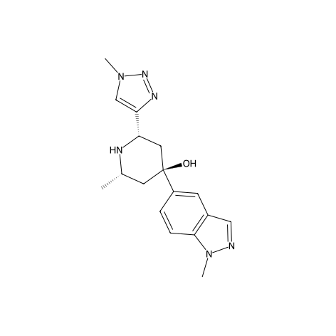 C[C@H]1C[C@@](O)(c2ccc3c(cnn3C)c2)C[C@@H](c2cn(C)nn2)N1